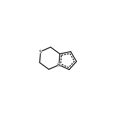 [c]1ccn2c1CSCC2